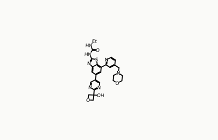 CCNC(=O)Nc1nc2cc(-c3cnc(C4(O)COC4)nc3)cc(-c3cc(CN4CCOCC4)ccn3)c2s1